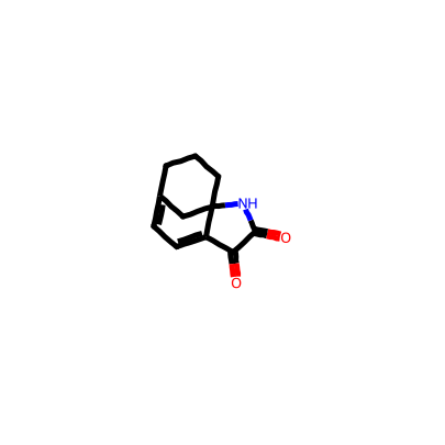 O=C1NC23CCCC(=CC=C2C1=O)C3